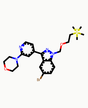 C[SH](C)(C)(C)CCOCn1nc(-c2ccnc(N3CCOCC3)c2)c2cc(Br)ccc21